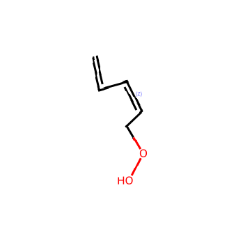 C=C/C=C\COO